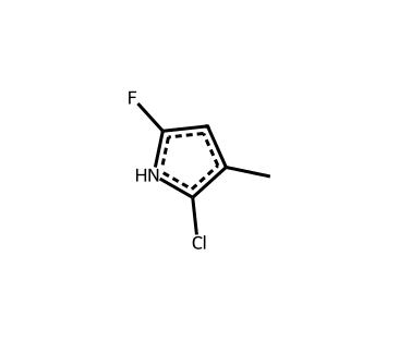 Cc1cc(F)[nH]c1Cl